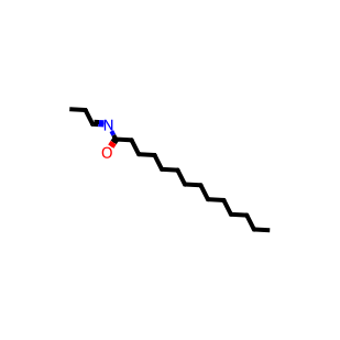 CCC=NC(=O)CCCCCCCCCCCCC